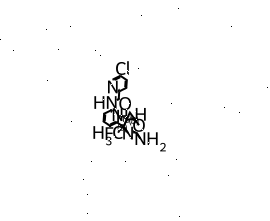 C[C@]1(c2nc(NC(=O)c3ccc(Cl)cn3)ccc2F)N=C(N)O[C@H]2C[C@H]21